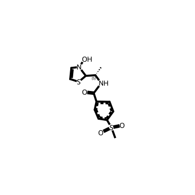 C[C@H](NC(=O)c1ccc(S(C)(=O)=O)cc1)C1SC=CN1O